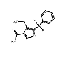 CCc1c(C(=O)O)noc1C(F)(F)c1ccccc1